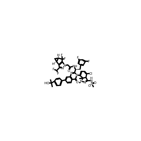 CN1N=C(NS(C)(=O)=O)C2C(Cl)=CC=C(n3c([C@H](Cc4cc(F)cc(F)c4)NC(=O)Cn4nc(C(F)F)c5c4C(F)(F)[C@@H]4C[C@H]54)nc4cc(-c5ccc(C(C)(C)O)cc5)ccc4c3=O)C21C